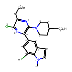 COCc1nc(N2CCC(C(=O)O)CC2)c(-c2cc(F)c3c(ccn3C)c2)nc1Cl